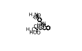 CC(C)C(NC[C@H](Cc1ccccc1)n1cc(-c2ccc(S(N)(=O)=O)cc2)nn1)C(=O)O